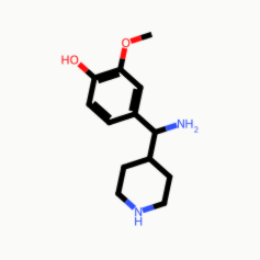 COc1cc(C(N)C2CCNCC2)ccc1O